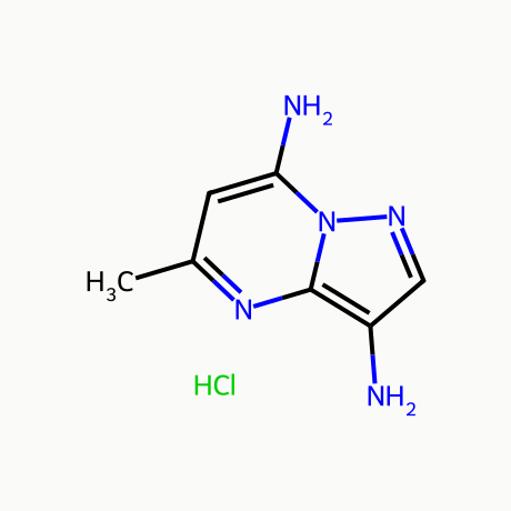 Cc1cc(N)n2ncc(N)c2n1.Cl